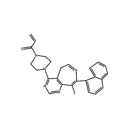 C=CC(=O)N1CCN(c2ncnc3c2CC=NC(c2cccc4ccccc24)=C3F)CC1